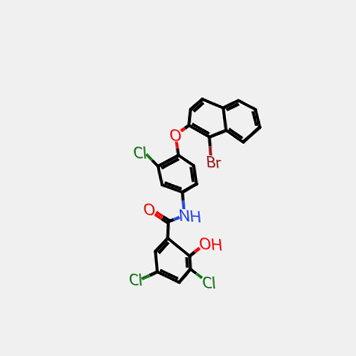 O=C(Nc1ccc(Oc2ccc3ccccc3c2Br)c(Cl)c1)c1cc(Cl)cc(Cl)c1O